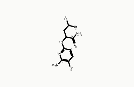 CCC(Br)CC(Oc1ccc(Br)c(NC)n1)C(N)=O